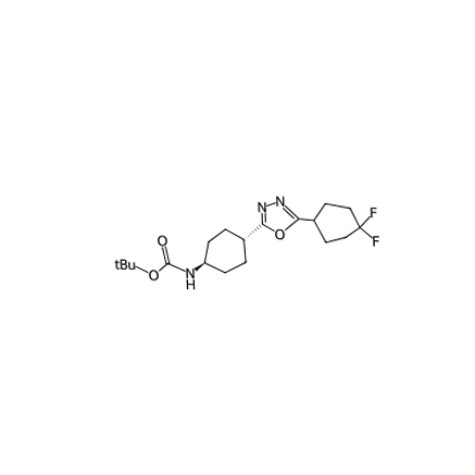 CC(C)(C)OC(=O)N[C@H]1CC[C@H](c2nnc(C3CCC(F)(F)CC3)o2)CC1